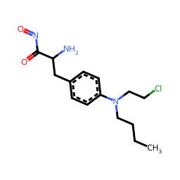 CCCCN(CCCl)c1ccc(CC(N)C(=O)N=O)cc1